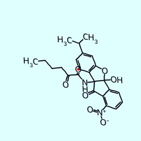 CCCCC(=O)C(=O)NC12C(=O)c3c([N+](=O)[O-])cccc3C1(O)Oc1cc(C(C)C)ccc12